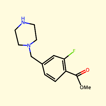 COC(=O)c1ccc(CN2CCNCC2)cc1F